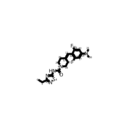 CCc1nsc(NC(=O)N2CCC(=Cc3c(F)cc(N(C)C)cc3F)CC2)n1